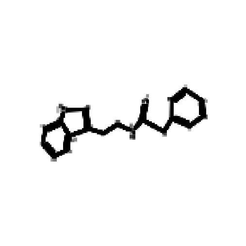 O=C(Cc1ccccc1)NCCc1c[nH]c2ccccc12